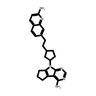 Nc1ccc2ccc(CCC3CCC(n4c5c(c6c(N)ncnc64)CCC5)C3)cc2n1